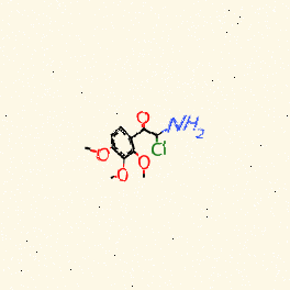 COc1ccc(C(=O)C(N)Cl)c(OC)c1OC